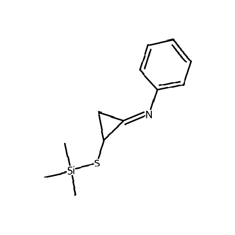 C[Si](C)(C)SC1C/C1=N\c1ccccc1